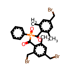 Cc1cc(CBr)cc(C)c1C(=O)P(=O)(C(=O)c1c(C)cc(CBr)cc1CBr)c1ccccc1